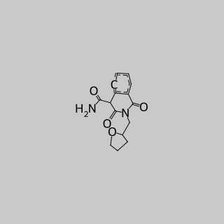 NC(=O)C1C(=O)N(CC2CCCO2)C(=O)c2ccccc21